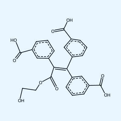 O=C(OCCO)C(=C(c1cccc(C(=O)O)c1)c1cccc(C(=O)O)c1)c1cccc(C(=O)O)c1